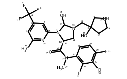 Cc1cc(C(F)(F)F)cc(N2C(O)N(CC3(O)CCNC3)C[C@H]2C(=O)N(C)c2ccc(F)c(Cl)c2F)n1